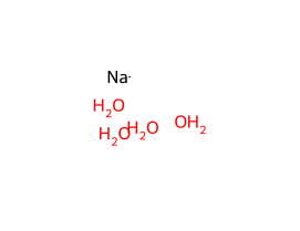 O.O.O.O.[Na]